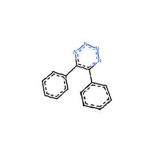 c1ccc(-c2nnnnc2-c2ccccc2)cc1